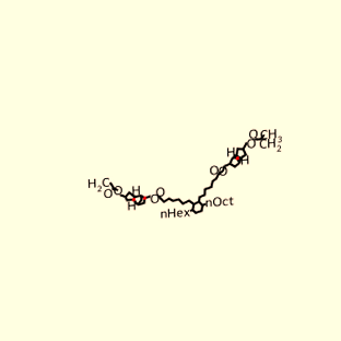 C=CC(=O)OCC1C[C@@H]2C3CC(COC(=O)CCCCCCC4C(CCCCCC)CCC(CCCCCCCC)C4CCCCCCC(=O)OCC4CC5CC4[C@@H]4CC(COC(=O)C(=C)C)C[C@H]54)C(C3)[C@@H]2C1